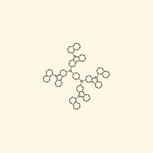 c1ccc2c(-n3c4ccccc4c4cc(N(c5ccc(N(c6ccc7c(c6)c6ccccc6n7-c6cccc7ccccc67)c6ccc7c(c6)c6ccccc6n7-c6cccc7ccccc67)cc5)c5ccc6c(c5)c5ccccc5n6-c5cccc6ccccc56)ccc43)cccc2c1